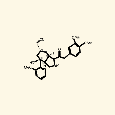 COc1ccc(CC(=O)C2NC[C@@H]3[C@H]2C[C@@H](CC#N)C[C@@]3(O)c2ccccc2OC)cc1OC